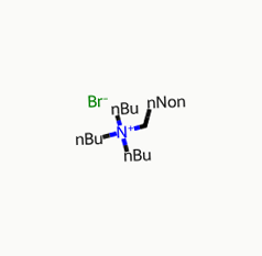 CCCCCCCCCC[N+](CCCC)(CCCC)CCCC.[Br-]